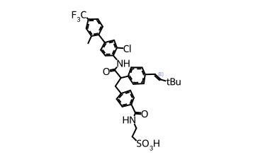 Cc1cc(C(F)(F)F)ccc1-c1ccc(NC(=O)C(Cc2ccc(C(=O)NCCS(=O)(=O)O)cc2)c2ccc(/C=C/C(C)(C)C)cc2)c(Cl)c1